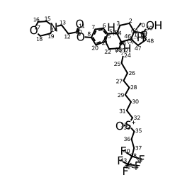 C[C@]12CC[C@@H]3c4ccc(OC(=O)CCN5CCOCC5)cc4C[C@@H](CCCCCCCCC[S+]([O-])CCCC(F)(F)C(F)(F)F)[C@H]3[C@@H]1CC[C@@H]2O